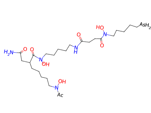 CC(=O)N(O)CCCCCC(CC(N)=O)C(=O)N(O)CCCCCNC(=O)CCC(=O)N(O)CCCCC[AsH2]